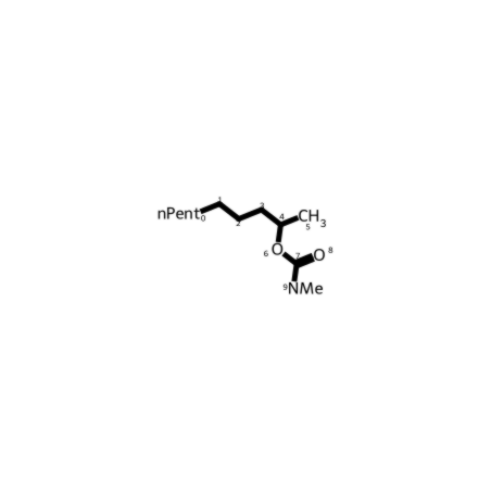 CCCCCCCCC(C)OC(=O)NC